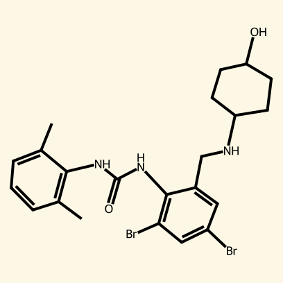 Cc1cccc(C)c1NC(=O)Nc1c(Br)cc(Br)cc1CNC1CCC(O)CC1